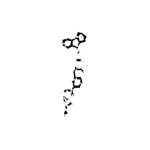 N#Cc1cn2cc(-c3cccc(CC(NC(=O)OCC4c5ccccc5-c5ccccc54)C(=O)O)c3)cnc2n1